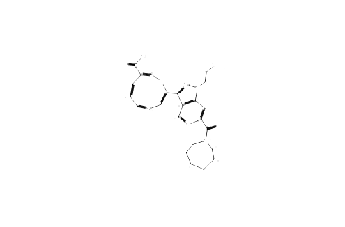 CCCn1nc(-c2cncccc(C(N)=O)c[nH]2)c2cnc(C(=O)N3CCCCCC3)cc21